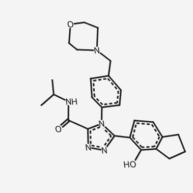 CC(C)NC(=O)c1nnc(-c2ccc3c(c2O)CCC3)n1-c1ccc(CN2CCOCC2)cc1